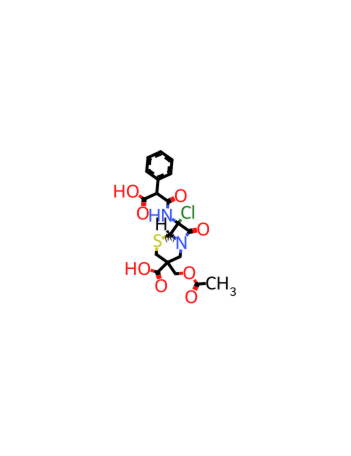 CC(=O)OCC1(C(=O)O)CS[C@H]2N(C1)C(=O)C2(Cl)NC(=O)C(C(=O)O)c1ccccc1